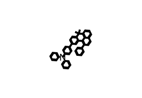 CC1(C)c2ccc(-c3ccc(N(c4ccccc4)c4ccccc4)cc3)cc2-c2c(-c3ccccc3)ccc3cccc1c23